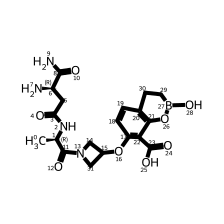 C[C@@H](NC(=O)C[C@@H](N)C(N)=O)C(=O)N1CC(Oc2ccc3c(c2C(=O)O)OB(O)CC3)C1